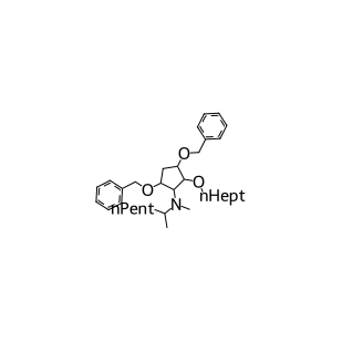 CCCCCCCOC1C(OCc2ccccc2)CC(OCc2ccccc2)C1N(C)C(C)CCCCC